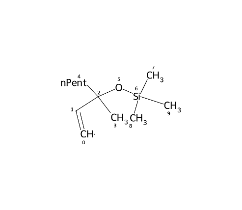 [CH]=CC(C)(CCCCC)O[Si](C)(C)C